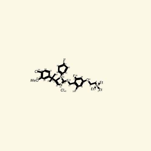 CC[N+](CC)(CC)CCOc1cc(F)c(CSc2ncc(C(C)(C)c3ccc(Cl)c(OC)c3)n2-c2ccc(F)cc2)c(F)c1.[Cl-]